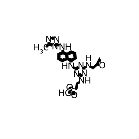 Cc1ncnc(Nc2cccc3c(Nc4nc(NCCS(=O)(=O)O)nc(NCC5CO5)n4)cccc23)n1